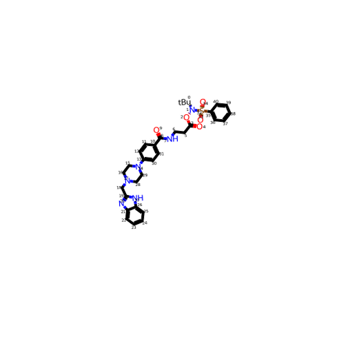 CC(C)(C)N(OC(=O)CCNC(=O)c1ccc(N2CCN(Cc3nc4ccccc4[nH]3)CC2)cc1)S(=O)(=O)c1ccccc1